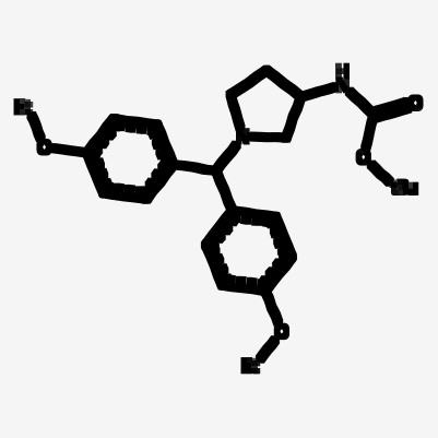 CCOc1ccc(C(c2ccc(OCC)cc2)N2CCC(NC(=O)OC(C)(C)C)C2)cc1